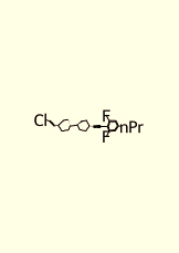 CCCc1cc(F)c(C#C[C@H]2CC[C@H]([C@H]3CC[C@H](C=CCl)CC3)CC2)c(F)c1